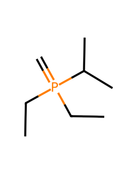 C=P(CC)(CC)C(C)C